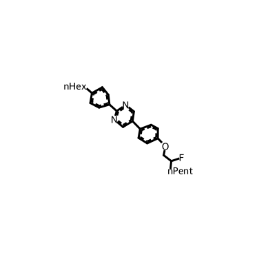 CCCCCCc1ccc(-c2ncc(-c3ccc(OCC(F)CCCCC)cc3)cn2)cc1